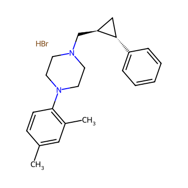 Br.Cc1ccc(N2CCN(C[C@H]3C[C@@H]3c3ccccc3)CC2)c(C)c1